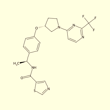 C[C@H](NC(=O)c1cncs1)c1ccc(O[C@@H]2CCN(c3ccnc(C(F)(F)F)n3)C2)cc1